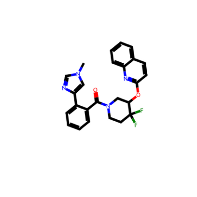 Cn1cnc(-c2ccccc2C(=O)N2CCC(F)(F)C(Oc3ccc4ccccc4n3)C2)c1